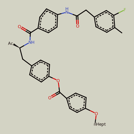 CCCCCCCOc1ccc(C(=O)Oc2ccc(C[C@H](NC(=O)c3ccc(NC(=O)Cc4ccc(C)c(F)c4)cc3)C(C)=O)cc2)cc1